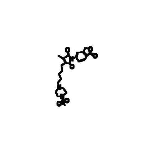 CC1=C(CCCCCN2CCN(S(C)(=O)=O)CC2)C(=O)N(c2ccc3c(c2)COC3=O)C1=O